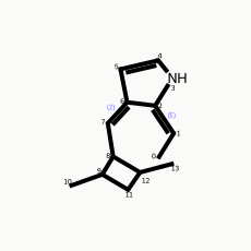 C/C=c1/[nH]cc/c1=C/C1C(C)CC1C